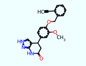 C#Cc1ccccc1COc1ccc(C2CC(=O)Nc3n[nH]cc32)cc1OC